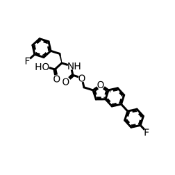 O=C(N[C@H](Cc1cccc(F)c1)C(=O)O)OCc1cc2cc(-c3ccc(F)cc3)ccc2o1